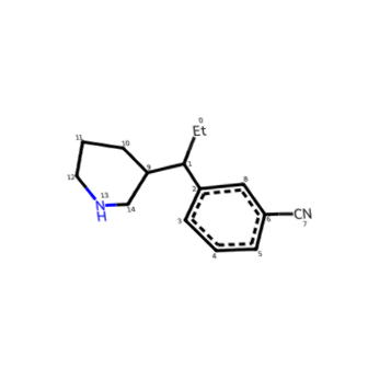 CCC(c1cccc(C#N)c1)C1CCCNC1